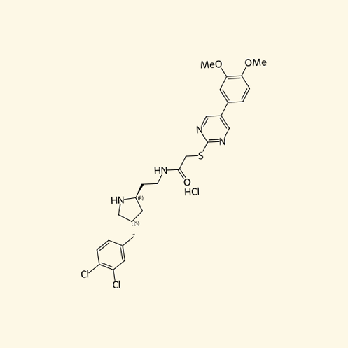 COc1ccc(-c2cnc(SCC(=O)NCC[C@H]3C[C@H](Cc4ccc(Cl)c(Cl)c4)CN3)nc2)cc1OC.Cl